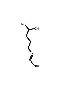 CCCCN=NCCCC(C#N)C#N